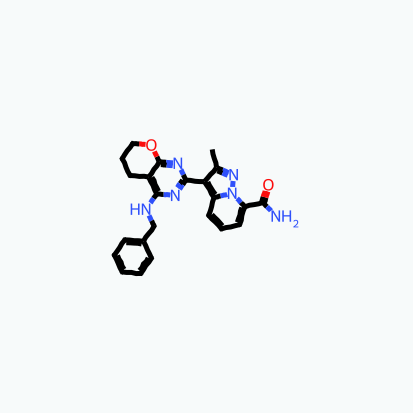 Cc1nn2c(C(N)=O)cccc2c1-c1nc(NCc2ccccc2)c2c(n1)OCCC2